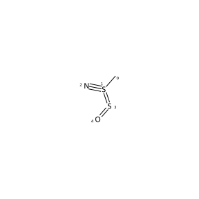 CS(#N)=S=O